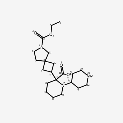 CCOC(=O)N1CCC2(CC(C3(C(=O)O)CCCCN3C3CCNCC3)C2)C1